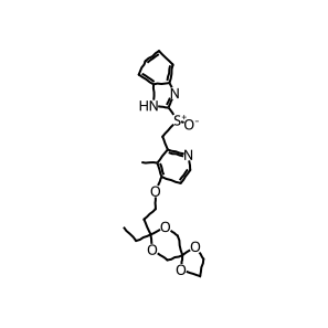 CCC1(CCOc2ccnc(C[S+]([O-])c3nc4ccccc4[nH]3)c2C)OCC2(CO1)OCCO2